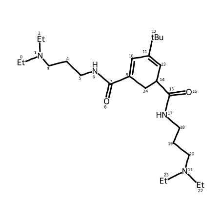 CCN(CC)CCCNC(=O)C1=CC(C(C)(C)C)=CC(C(=O)NCCCN(CC)CC)C1